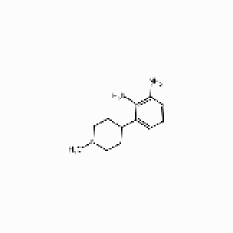 CN1CCC(c2cccc(N)c2N)CC1